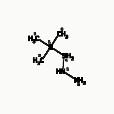 C[Si](C)(C)[SiH2]NN